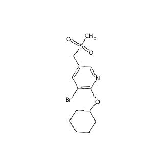 CS(=O)(=O)Cc1cnc(OC2CCCCC2)c(Br)c1